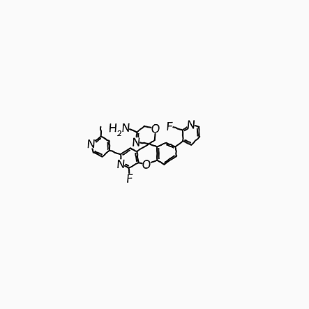 Cc1cc(-c2cc3c(c(F)n2)Oc2ccc(-c4cccnc4F)cc2C32COCC(N)=N2)ccn1